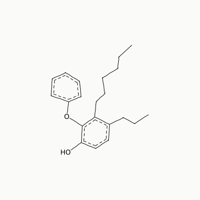 CCCCCCc1c(CCC)ccc(O)c1Oc1ccccc1